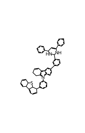 C1=CC2SC3C(=CC=CC3c3cccc(-n4c5c(c6cc(-c7cccc(C8NC(c9ccccc9)=CC(c9ccccc9)N8)c7)ccc64)C=CCC5)c3)C2C=C1